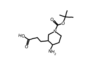 CC(C)(C)OC(=O)N1CCC(N)C(CCC(=O)O)C1